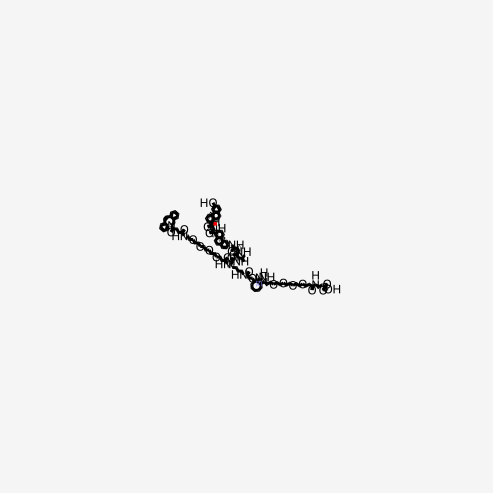 CC(C)[C@H](NC(=O)[C@@H](CCCCNC(=O)COC1CCCCC/C(NCCOCCOCCOCCOCCC(=O)NCCS(=O)(=O)O)=C\1N=N)NC(=O)CCOCCOCCOCCOCCNC(=O)CCC(=O)N1Cc2ccccc2C#Cc2ccccc21)C(=O)N[C@@H](C)C(=O)Nc1ccc2c(c1)[C@@]1(C)CCC[C@](C)(C(=O)NC(=O)[C@@]3(C)CCC[C@]4(C)c5cc(O)ccc5CC[C@@H]34)C1CC2